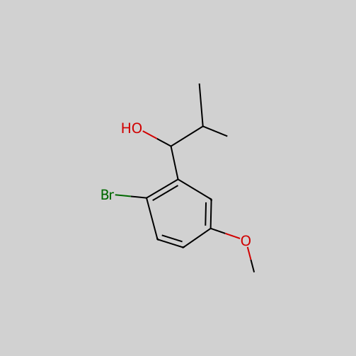 COc1ccc(Br)c(C(O)C(C)C)c1